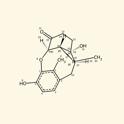 Cc1c2ccc(O)c1O[C@H]1C(=O)CC[C@]3(O)[C@@H]1CCN(C)[C@@H]3C2